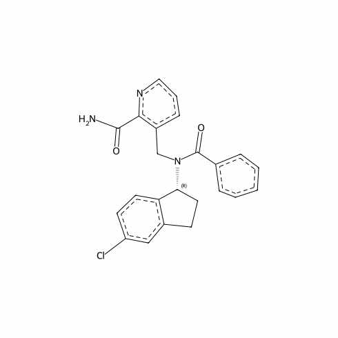 NC(=O)c1ncccc1CN(C(=O)c1ccccc1)[C@@H]1CCc2cc(Cl)ccc21